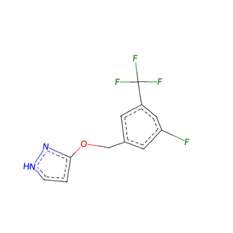 Fc1cc(COc2cc[nH]n2)cc(C(F)(F)F)c1